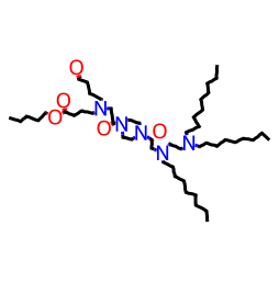 CCCCCCCCCN(CCCCCCCCC)CCN(CCCCCCCCC)CC(=O)N1CCN(C(=O)CN(CCCC=O)CCCC(=O)OCCCCC)CC1